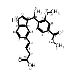 COC(=O)c1ccc(C(C)c2c[nH]c3ccc(/C=C/CC(=O)O)cc23)c(OC)c1